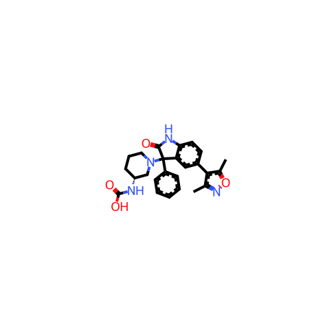 Cc1noc(C)c1-c1ccc2c(c1)C(c1ccccc1)(N1CCC[C@@H](NC(=O)O)C1)C(=O)N2